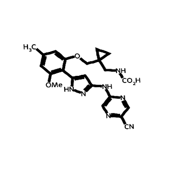 COc1cc(C)cc(OCC2(CNC(=O)O)CC2)c1-c1cc(Nc2cnc(C#N)cn2)n[nH]1